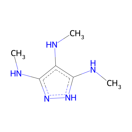 CNc1n[nH]c(NC)c1NC